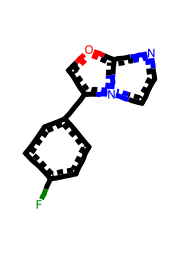 Fc1ccc(-c2coc3nccn23)cc1